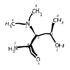 C[C@@H](O)[C@@H](C(N)=O)N(C)C